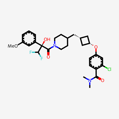 COc1cccc([C@](O)(C(=O)N2CCC(C[C@H]3C[C@@H](Oc4ccc(C(=O)N(C)C)c(Cl)c4)C3)CC2)C(F)F)c1